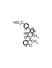 CC(OC(=O)Nc1c(-c2ccc(C(=O)O)cn2)nnn1C)c1cccnc1Cl